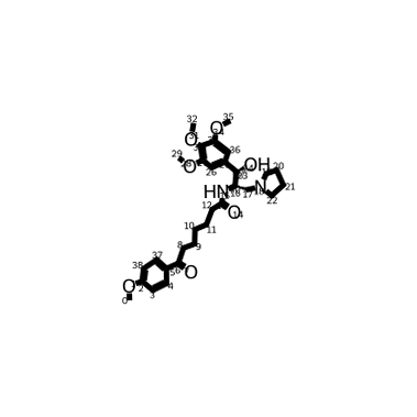 COc1ccc(C(=O)CCCCCC(=O)N[C@H](CN2CCCC2)[C@H](O)c2cc(OC)c(OC)c(OC)c2)cc1